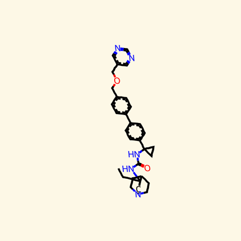 CCC1(NC(=O)NC2(c3ccc(-c4ccc(COCc5cncnc5)cc4)cc3)CC2)CN2CCC1CC2